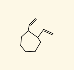 C=CC1CCCCCC1C=C